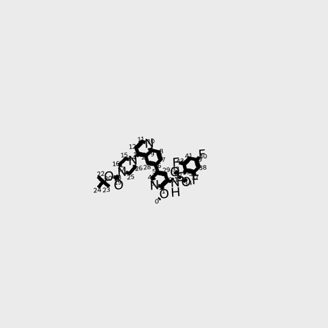 COc1ncc(-c2ccc3nccc(N4CCN(C(=O)OC(C)(C)C)CC4)c3c2)cc1NS(=O)(=O)c1c(F)cc(F)cc1F